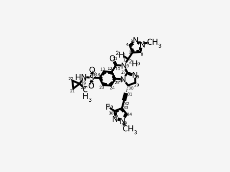 [2H]C([2H])(c1cnn(C)c1)N1C(=O)c2cc(S(=O)(=O)NC3(C)CC3)ccc2N2C1=NC[C@@H]2C#Cc1cn(C)nc1F